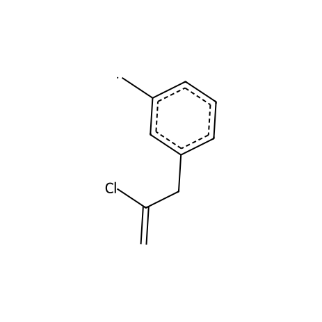 [CH2]c1cccc(CC(=C)Cl)c1